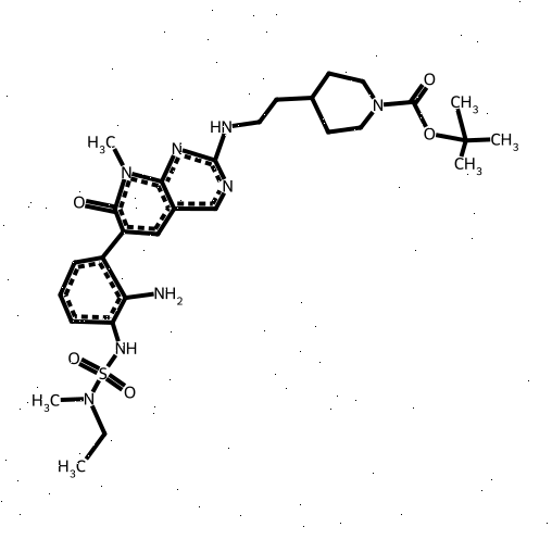 CCN(C)S(=O)(=O)Nc1cccc(-c2cc3cnc(NCCC4CCN(C(=O)OC(C)(C)C)CC4)nc3n(C)c2=O)c1N